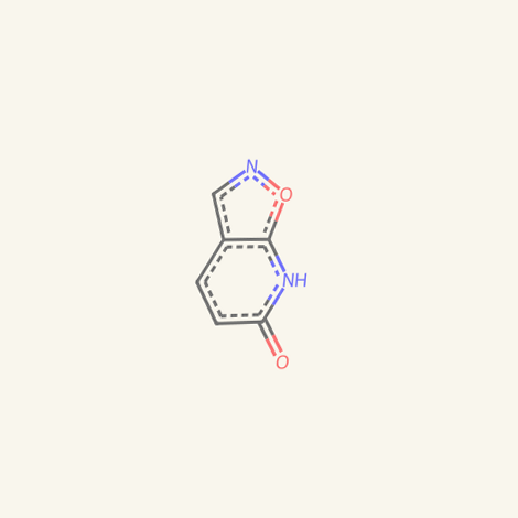 O=c1ccc2cnoc2[nH]1